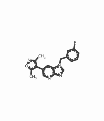 Cc1noc(C)c1-c1cnc2ncn(Cc3cccc(F)c3)c2c1